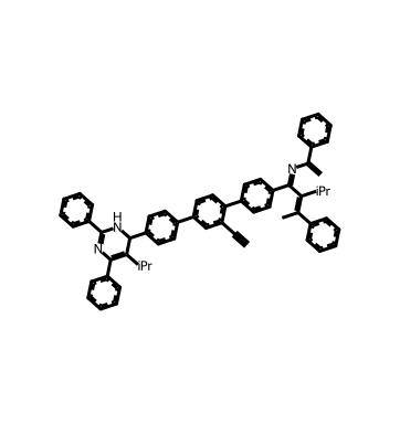 C#Cc1cc(-c2ccc(C3NC(c4ccccc4)=NC(c4ccccc4)=C3C(C)C)cc2)ccc1-c1ccc(C(=N/C(=C)c2ccccc2)/C(=C(\C)c2ccccc2)C(C)C)cc1